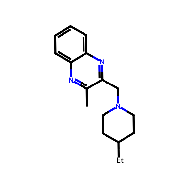 CCC1CCN(Cc2nc3ccccc3nc2C)CC1